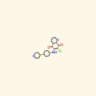 O=C1C(Nc2ccc(-c3ccncc3)cc2)=C(Cl)C(=O)c2ncccc21